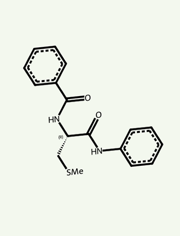 CSC[C@H](NC(=O)c1ccccc1)C(=O)Nc1ccccc1